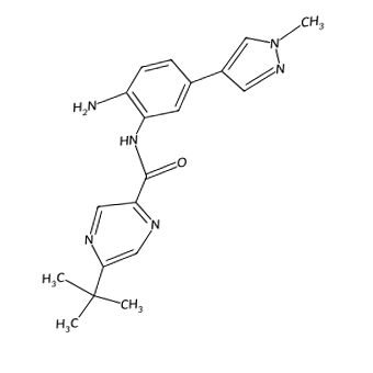 Cn1cc(-c2ccc(N)c(NC(=O)c3cnc(C(C)(C)C)cn3)c2)cn1